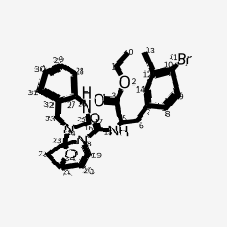 CCOC(=O)C(Cc1ccc(Br)c(C)c1)NC(=O)N1CCC2CC1(N1CNc3ccccc3C1)O2